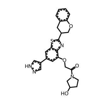 O=C(COc1cc(-c2cn[nH]c2)cc2sc(C3COc4ccccc4C3)nc12)N1CCC(O)C1